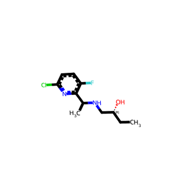 CC[C@@H](O)CNC(C)c1nc(Cl)ccc1F